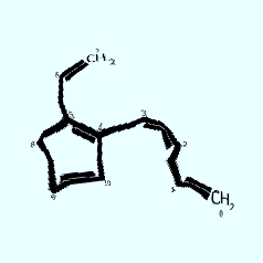 C=C/C=C\C1=C(C=C)CC=C1